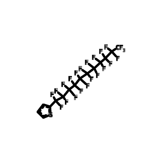 FC(F)(F)C(F)(F)C(F)(F)C(F)(F)C(F)(F)C(F)(F)C(F)(F)C(F)(F)C(F)(F)C(F)(F)C(F)(F)c1cccs1